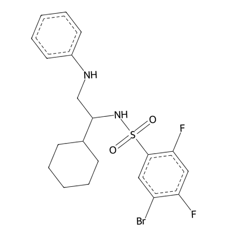 O=S(=O)(NC(CNc1ccccc1)C1CCCCC1)c1cc(Br)c(F)cc1F